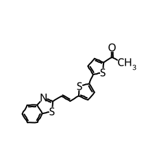 CC(=O)c1ccc(-c2ccc(/C=C/c3nc4ccccc4s3)s2)s1